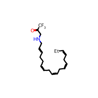 CC/C=C\C/C=C\C/C=C\C/C=C\CC/C=C/CNCC(=O)C(F)(F)F